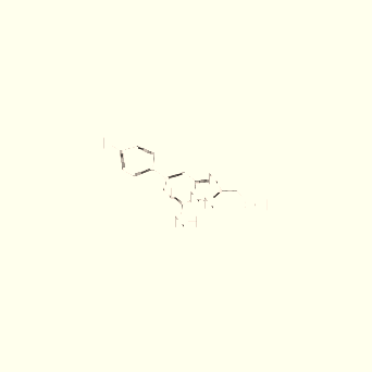 Nc1nc(-c2ccc(F)cc2)cc2nc(CO)nn12